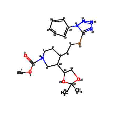 CC(C)(C)OC(=O)N1CCC(CCSc2nnnn2-c2ccccc2)C(C2COC(C)(C)O2)C1